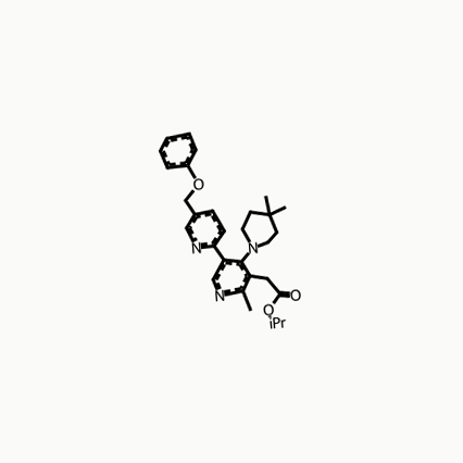 Cc1ncc(-c2ccc(COc3ccccc3)cn2)c(N2CCC(C)(C)CC2)c1CC(=O)OC(C)C